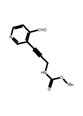 CC(C)(C)OC(=O)NCC#Cc1cnccc1C=O